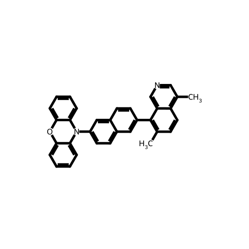 Cc1ccc2c(C)cncc2c1-c1ccc2cc(N3c4ccccc4Oc4ccccc43)ccc2c1